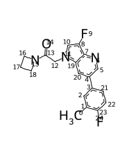 Cc1cc(-c2cnc3c(F)cn(CC(=O)N4CCC4)c3c2)ccc1F